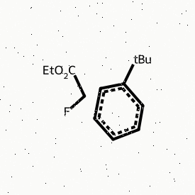 CC(C)(C)c1ccccc1.CCOC(=O)CF